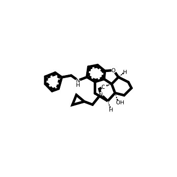 O[C@@]12CCC[C@@H]3Oc4ccc(NCc5ccccc5)c5c4[C@@]31CCN(CC1CC1)[C@@H]2C5